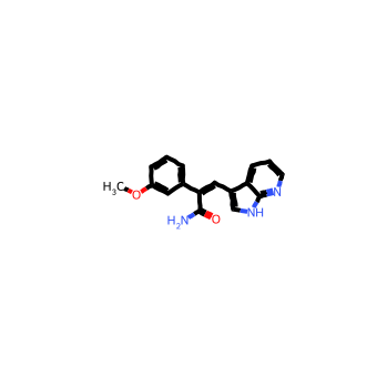 COc1cccc(C(=Cc2c[nH]c3ncccc23)C(N)=O)c1